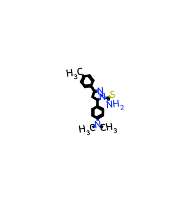 Cc1ccc(C2=NN(C(N)=S)C(c3ccc(N(C)C)cc3)C2)cc1